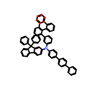 c1ccc(-c2ccc(-c3ccc(N(c4cccc(-c5cccc(-c6ccccc6)c5-c5ccccc5-c5ccccc5)c4)c4ccc5c(c4)C(c4ccccc4)(c4ccccc4)c4ccccc4-5)cc3)cc2)cc1